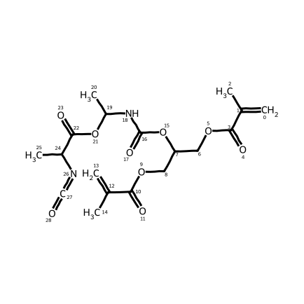 C=C(C)C(=O)OCC(COC(=O)C(=C)C)OC(=O)NC(C)OC(=O)C(C)N=C=O